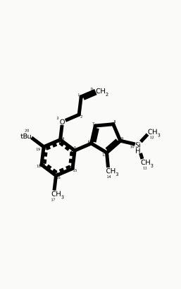 C=CCOc1c(C2=CCC([SiH](C)C)=C2C)cc(C)cc1C(C)(C)C